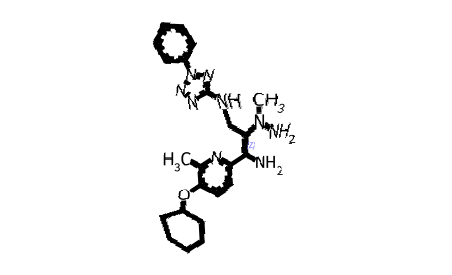 Cc1nc(/C(N)=C(\CNc2nnn(-c3ccccc3)n2)N(C)N)ccc1OC1CCCCC1